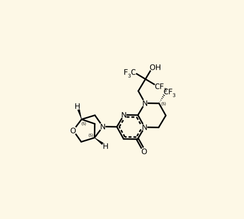 O=c1cc(N2C[C@@H]3C[C@H]2CO3)nc2n1CC[C@@H](C(F)(F)F)N2CC(O)(C(F)(F)F)C(F)(F)F